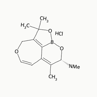 CN[C@H]1OB2OC(C)(C)C3=C2C(=C1C)C=COC3.Cl